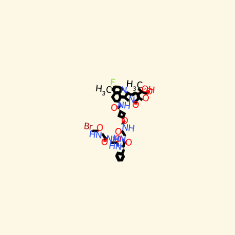 CC[C@@]1(O)C(=O)OCc2c1cc1n(c2=O)Cc2c-1nc1cc(F)c(C)c3c1c2[C@@H](NC(=O)[C@H]1C[C@@H](OCNC(=O)CNC(=O)[C@H](Cc2ccccc2)NC(=O)CNC(=O)CNC(=O)CBr)C1)CC3